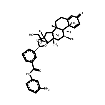 C[C@]12C=CC(=O)C=C1CC[C@@H]1[C@@H]2[C@@H](O)C[C@@]2(C)[C@H]1C[C@H]1O[C@@H](c3cccc(C(=O)Nc4cccc(N)c4)c3)O[C@]12C(=O)CO